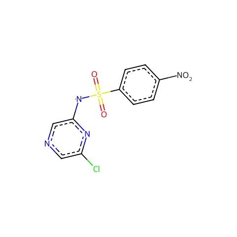 O=[N+]([O-])c1ccc(S(=O)(=O)[N]c2cncc(Cl)n2)cc1